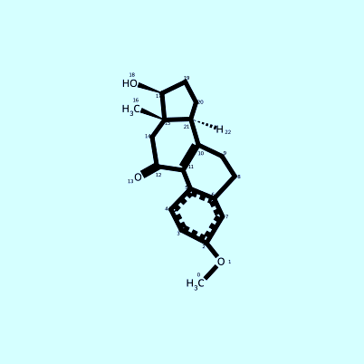 COc1ccc2c(c1)CCC1=C2C(=O)C[C@]2(C)[C@@H](O)CC[C@@H]12